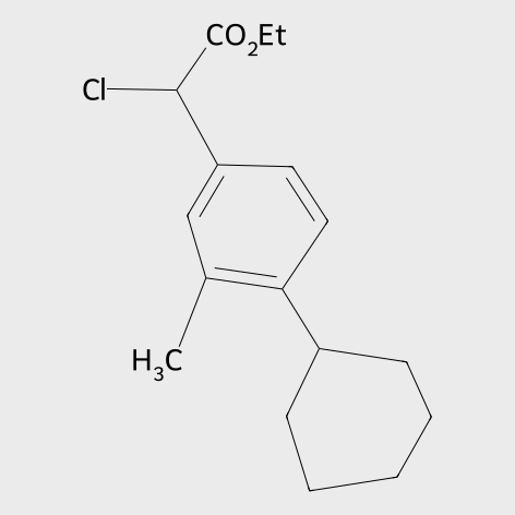 CCOC(=O)C(Cl)c1ccc(C2CCCCC2)c(C)c1